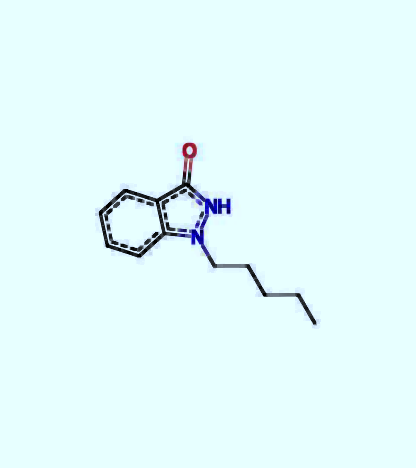 CCCCCn1[nH]c(=O)c2ccccc21